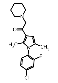 Cc1cc(C(=O)CN2CCCCC2)c(C)n1-c1ccc(Cl)cc1F